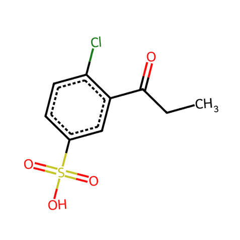 CCC(=O)c1cc(S(=O)(=O)O)ccc1Cl